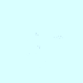 COCCn1c(-c2ccccc2)c(C)sc1=NC(=O)C1C(C)(C)C1(C)C